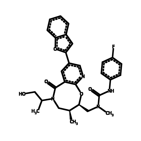 CC(CO)N1C[C@H](C)[C@H](CN(C)C(=O)Nc2ccc(F)cc2)Oc2ncc(-c3cc4ccccc4o3)cc2C1=O